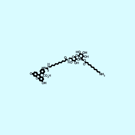 NCCCCCCCCCC(=O)OCC1O[C@H](O[C@H]2OC(COC(=O)CCCCCCCCCNC(=S)Nc3ccc(-c4c5ccc(=O)cc-5oc5cc(O)ccc45)c(C(=O)O)c3)[C@@H](O)C(O)C2O)C(O)C(O)[C@@H]1O